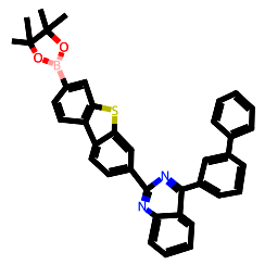 CC1(C)OB(c2ccc3c(c2)sc2cc(-c4nc(-c5cccc(-c6ccccc6)c5)c5ccccc5n4)ccc23)OC1(C)C